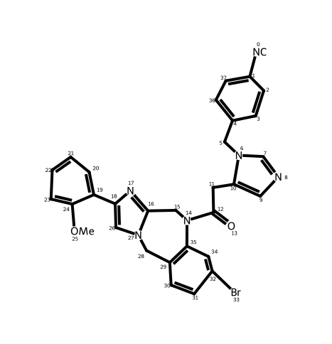 [C-]#[N+]c1ccc(Cn2cncc2CC(=O)N2Cc3nc(-c4ccccc4OC)cn3Cc3ccc(Br)cc32)cc1